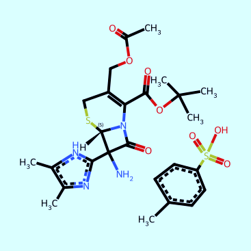 CC(=O)OCC1=C(C(=O)OC(C)(C)C)N2C(=O)C(N)(c3nc(C)c(C)[nH]3)[C@@H]2SC1.Cc1ccc(S(=O)(=O)O)cc1